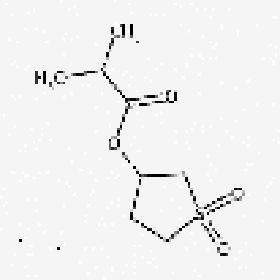 CC(C)C(=O)OC1CCS(=O)(=O)C1